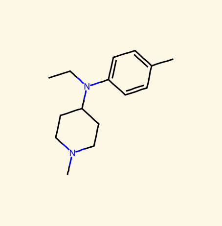 CCN(c1ccc(C)cc1)C1CCN(C)CC1